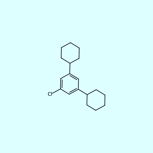 Clc1cc(C2CCCCC2)cc(C2CCCCC2)c1